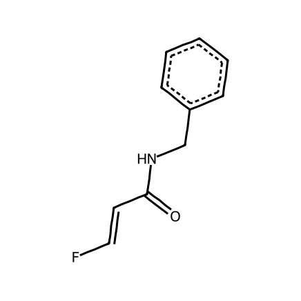 O=C(/C=C/F)NCc1ccccc1